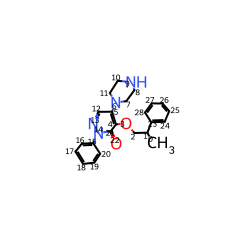 CC(COc1c(N2CCNCC2)cnn(-c2ccccc2)c1=O)c1ccccc1